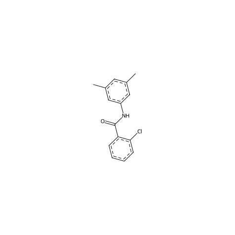 Cc1cc(C)cc(NC(=O)c2ccccc2Cl)c1